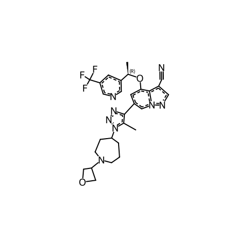 Cc1c(-c2cc(O[C@H](C)c3cncc(C(F)(F)F)c3)c3c(C#N)cnn3c2)nnn1C1CCCN(C2COC2)CC1